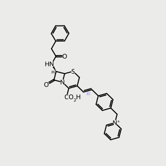 O=C(Cc1ccccc1)N[C@@H]1C(=O)N2C(C(=O)O)=C(/C=C/c3ccc(C[n+]4ccccc4)cc3)CSC12